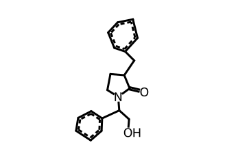 O=C1C(Cc2ccccc2)CCN1C(CO)c1ccccc1